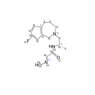 C[C@@H](CN1CCCc2ccc(F)cc2C1)NC(=O)/C=N/O